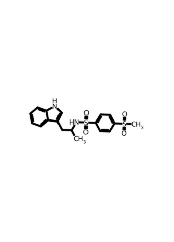 CC(Cc1c[nH]c2ccccc12)NS(=O)(=O)c1ccc(S(C)(=O)=O)cc1